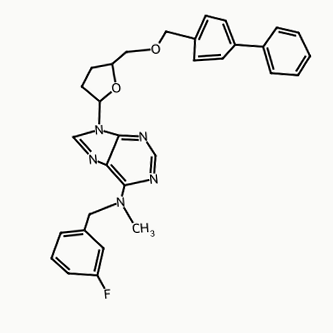 CN(Cc1cccc(F)c1)c1ncnc2c1ncn2C1CCC(COCc2ccc(-c3ccccc3)cc2)O1